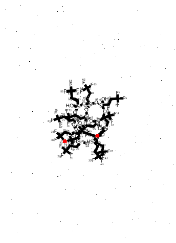 O[Si]1(CCC(F)(F)F)OC2(C(F)(F)F)C[Si]34O[SiH](CCC(F)(F)F)O[SiH](CCC(F)(F)F)O[Si]5(CCC(F)(F)F)O[Si]6(CCC(F)(F)F)O[Si](O)(CCC(F)(F)F)O[Si](CCC(F)(F)F)(O1)O[Si](CCC(F)(F)F)(O[Si](CCC(F)(F)F)(O6)O[Si](CCC(F)(F)F)(O5)O3)O[Si]2(CCC(F)(F)F)O4